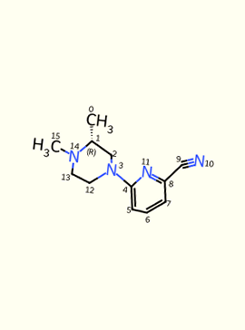 C[C@@H]1CN(c2cccc(C#N)n2)CCN1C